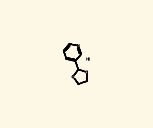 I.c1cncc(C2OCCO2)c1